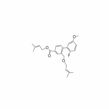 COc1ccc(F)c(-c2ccc(C(=O)OCC=C(C)C)cc2COCC=C(C)C)c1